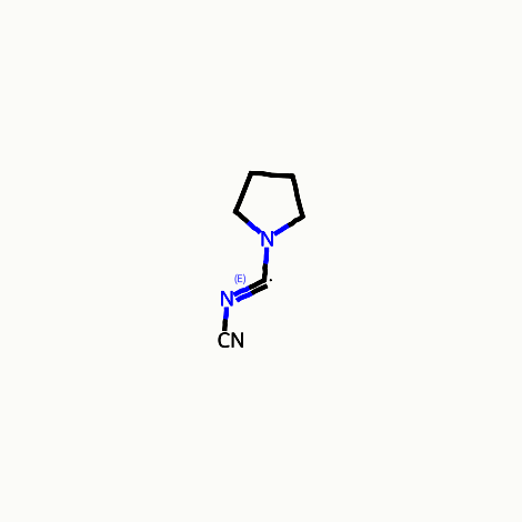 N#C/N=[C]/N1CCCC1